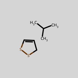 C1=CSSC1.CC(C)C